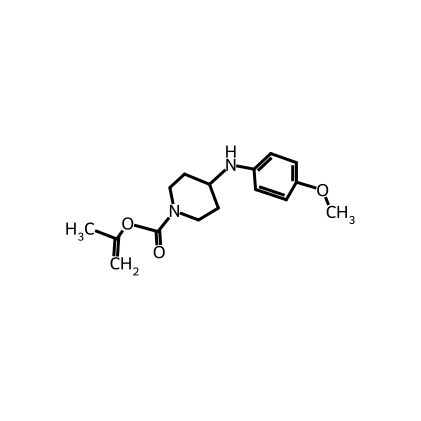 C=C(C)OC(=O)N1CCC(Nc2ccc(OC)cc2)CC1